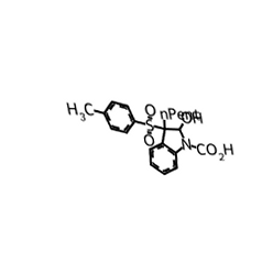 CCCCCC1(S(=O)(=O)c2ccc(C)cc2)c2ccccc2N(C(=O)O)C1O